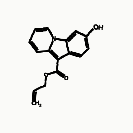 C=CCOC(=O)c1c2ccc(O)cc2n2ccccc12